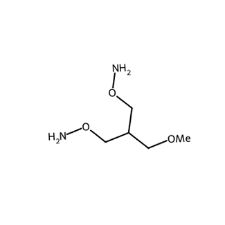 COCC(CON)CON